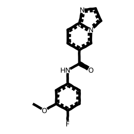 COc1cc(NC(=O)c2ccc3nccn3c2)ccc1F